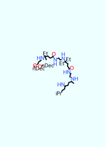 CCCCCCCCCCOC(CCNC(C)(CC)CCC(=O)NCCNC(CC)(CC)CCC(=O)NCCNC(C)CCC(=N)CCC(C)C)OCCCCCCCCCC